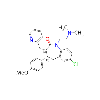 COc1ccc([C@H]2Cc3cc(Cl)ccc3N(CCN(C)C)C(=O)[C@H]2Cc2ccccn2)cc1